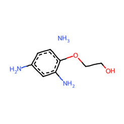 N.Nc1ccc(OCCO)c(N)c1